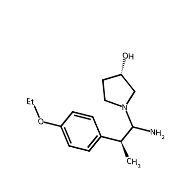 CCOc1ccc([C@H](C)C(N)N2CC[C@H](O)C2)cc1